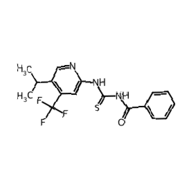 CC(C)c1cnc(NC(=S)NC(=O)c2ccccc2)cc1C(F)(F)F